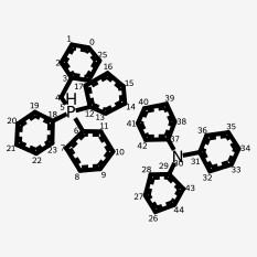 c1ccc(C[PH](c2ccccc2)(c2ccccc2)c2ccccc2)cc1.c1ccc(N(c2ccccc2)c2ccccc2)cc1